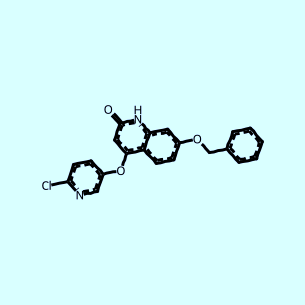 O=c1cc(Oc2ccc(Cl)nc2)c2ccc(OCc3ccccc3)cc2[nH]1